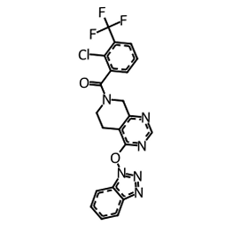 O=C(c1cccc(C(F)(F)F)c1Cl)N1CCc2c(ncnc2On2nnc3ccccc32)C1